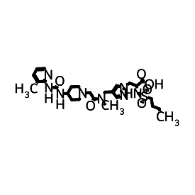 CCCCS(=O)(=O)NC(Cn1cc(CN(C)C(=O)CN2CCC(NC(=O)Nc3ncccc3C)CC2)cn1)C(=O)O